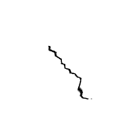 [CH2]CCCCCCC=CCCCCCC=CC